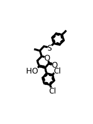 Cc1ccc(SCC(C)C2CC(O)=C(c3ccc(Cl)cc3Cl)C(=O)O2)cc1